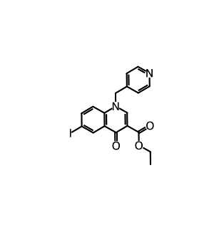 CCOC(=O)c1cn(Cc2ccncc2)c2ccc(I)cc2c1=O